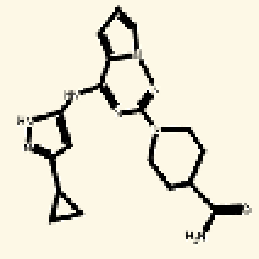 NC(=O)C1CCN(c2nc(Nc3cc(C4CC4)n[nH]3)c3cccn3n2)CC1